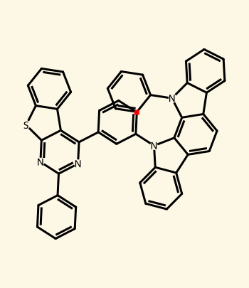 c1ccc(-c2nc(-c3cccc(-n4c5ccccc5c5ccc6c7ccccc7n(-c7ccccc7)c6c54)c3)c3c(n2)sc2ccccc23)cc1